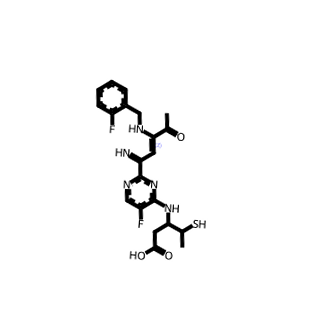 CC(=O)/C(=C/C(=N)c1ncc(F)c(NC(CC(=O)O)C(C)S)n1)NCc1ccccc1F